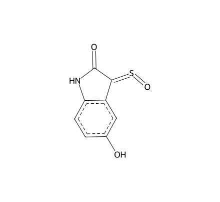 O=S=C1C(=O)Nc2ccc(O)cc21